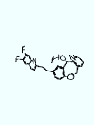 OC1c2cc(CCc3ccc4cc(F)c(F)cc4n3)ccc2OCc2cccnc21